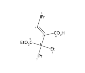 CCOC(=O)C(CC)(C(=CC(C)C)C(=O)O)C(C)C